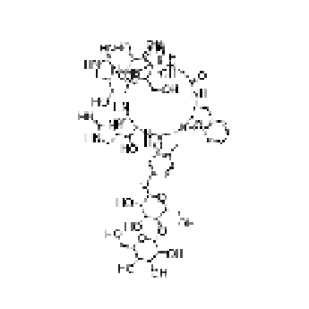 N=C1NCC(C(O)[C@@H]2NC(=O)[C@@H](Cc3ccc(O[C@H]4O[C@H](CO)[C@@H](O[C@H]5O[C@H](CO)[C@@H](O)[C@H](O)[C@@H]5O)[C@H](O)[C@@H]4O)cc3)NC(=O)[C@H](Cc3ccccc3)NC(=O)CNC(=O)[C@H](CO)NC(=O)[C@@H](C(O)C3CNC(=N)N3[C@H]3O[C@H](CO)[C@@H](O)[C@H](O)[C@@H]3O)NC2=O)N1